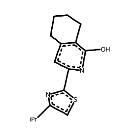 CC(C)c1csc(-c2cc3c(c(O)n2)CCCC3)n1